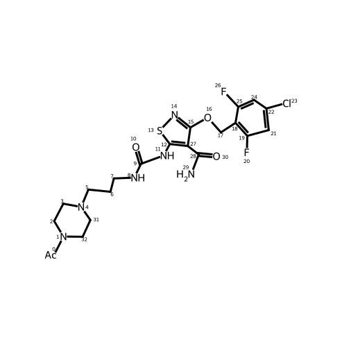 CC(=O)N1CCN(CCCNC(=O)Nc2snc(OCc3c(F)cc(Cl)cc3F)c2C(N)=O)CC1